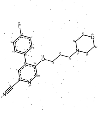 N#Cc1cc(-c2ccc(F)cc2)c(OCCCN2CCOCC2)cn1